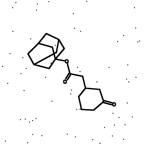 O=C1CCCC(CC(=O)OC23CC4CC(CC(C4)C2)C3)C1